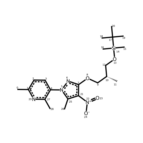 Cc1ccc(-n2nc(OC[C@@H](C)CO[Si](C)(C)C(C)(C)C)c([N+](=O)[O-])c2C)c(C)n1